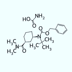 CN(C)C(=O)[C@H]1CCC[C@@H](N(C(=O)OCc2ccccc2)C(C)(C)C)C1.NC(=O)O